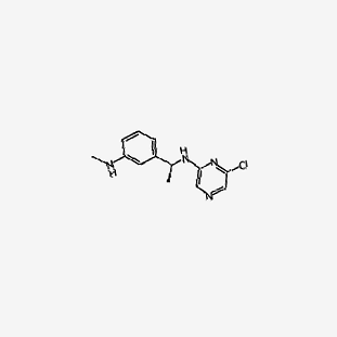 CNc1cccc([C@H](C)Nc2cncc(Cl)n2)c1